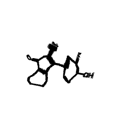 N#CC1=C(c2ccc(O)c(F)c2)C2CCCC2C1=O